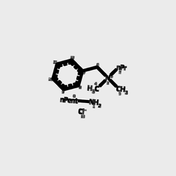 CCCCCN.CCC[N+](C)(C)Cc1ccccc1.[Cl-]